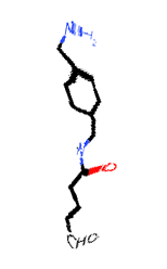 NCC1CCC(C[N]C(=O)CCCC=O)CC1